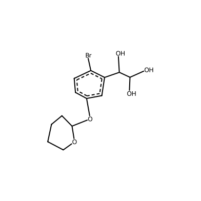 OC(O)C(O)c1cc(OC2CCCCO2)ccc1Br